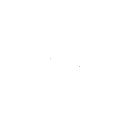 CC(C)CO[C@H]1[C@H](C)OC(=O)[C@@H](N)CCO[C@@H]1Cc1ccc(F)cc1